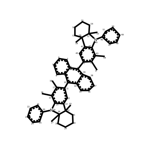 Cc1c(-c2c3ccccc3c(-c3cc4c(c(C)c3C)N(c3ccccc3)C3(C)CCCCC43C)c3ccccc23)cc2c(c1C)N(c1ccccc1)C1(C)CCCCC21C